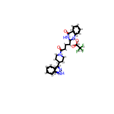 O=C1NC(CCCC(=O)N2CCC(c3n[nH]c4ccccc34)CC2)N(OC(=O)C(F)(F)F)c2ccccc21